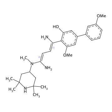 COc1cccc(-c2cc(O)c(/C(N)=C/C=C(\N)N(C)C3CC(C)(C)NC(C)(C)C3)c(OC)c2)c1